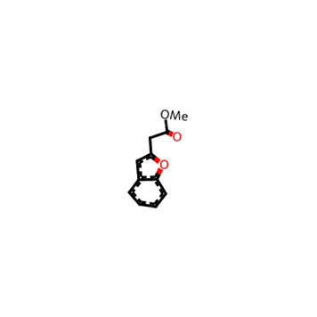 COC(=O)Cc1cc2ccccc2o1